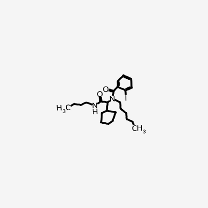 CCCCCCN(C(=O)c1ccccc1I)C(C(=O)NCCCC)C1CCCCC1